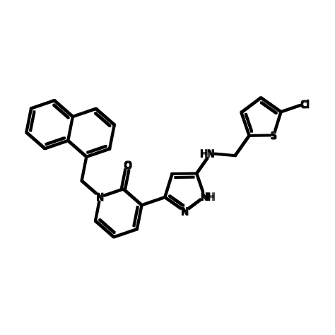 O=c1c(-c2cc(NCc3ccc(Cl)s3)[nH]n2)cccn1Cc1cccc2ccccc12